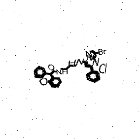 O=C(NCCCCNc1cc(-c2ccccc2Cl)nc2c(Br)cnn12)C1c2ccccc2Oc2ccccc21